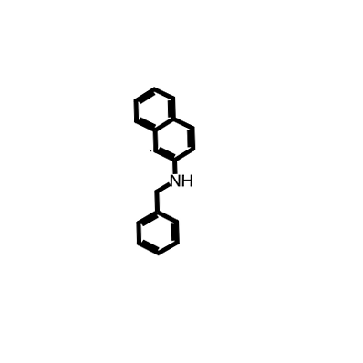 [c]1c(NCc2ccccc2)ccc2ccccc12